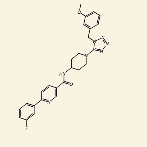 COc1cccc(Cn2nnnc2N2CCC(NC(=O)c3ccc(-c4cccc(F)c4)nc3)CC2)c1